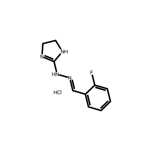 Cl.Fc1ccccc1C=NNC1=NCCN1